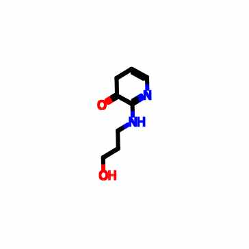 O=C1CC=CN=C1NCCCO